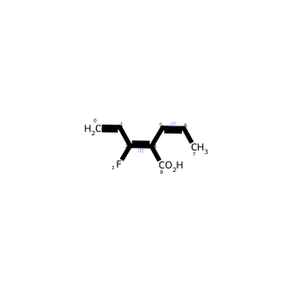 C=C/C(F)=C(\C=C/C)C(=O)O